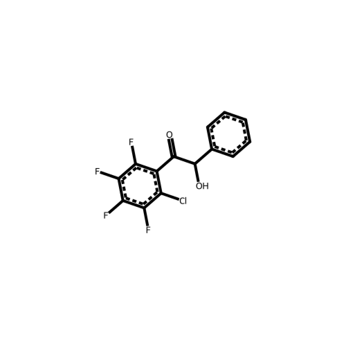 O=C(c1c(F)c(F)c(F)c(F)c1Cl)C(O)c1ccccc1